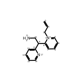 C=CC[n+]1ccccc1C(CN)c1ccccn1